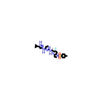 Cc1ccc(S(=O)(=O)n2ccc3nc([C@@H](C)Nc4nccc(Nc5cc(C6CC6)[nH]n5)n4)c(F)cc32)cc1